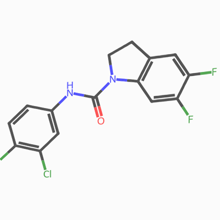 O=C(Nc1ccc(F)c(Cl)c1)N1CCc2cc(F)c(F)cc21